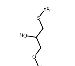 CCCOCC(O)CSCCC